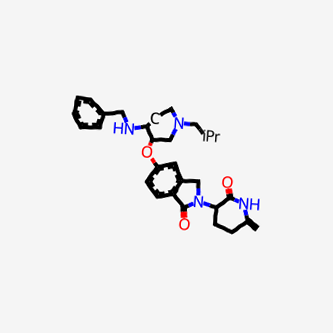 C=C1CCC(N2Cc3cc(OC4CN(CC(C)C)CCC4NCc4ccccc4)ccc3C2=O)C(=O)N1